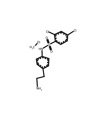 CCC.NCCc1ccc(NS(=O)(=O)c2ccc(Cl)cc2Cl)cc1